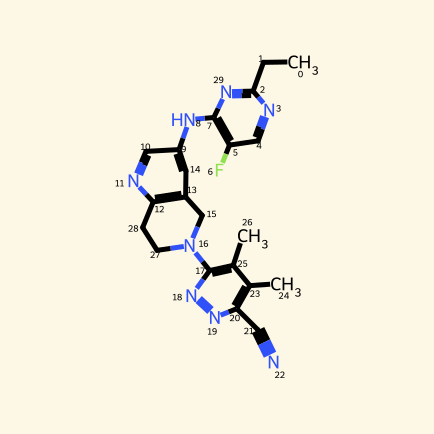 CCc1ncc(F)c(Nc2cnc3c(c2)CN(c2nnc(C#N)c(C)c2C)CC3)n1